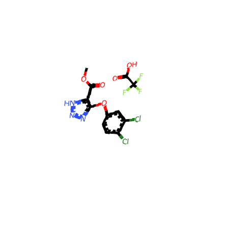 COC(=O)c1[nH]nnc1Oc1ccc(Cl)c(Cl)c1.O=C(O)C(F)(F)F